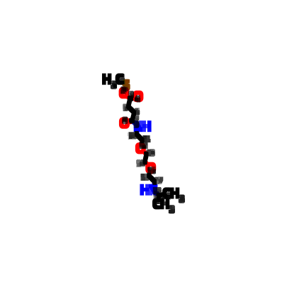 CSOC(=O)CCC(=O)NCCOCCOCCNC(C)C